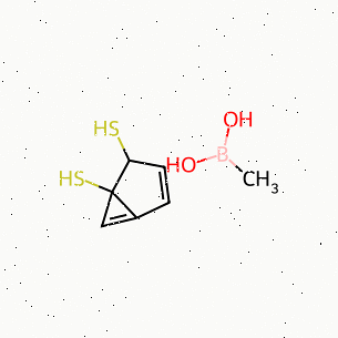 CB(O)O.SC1C=CC2=CC21S